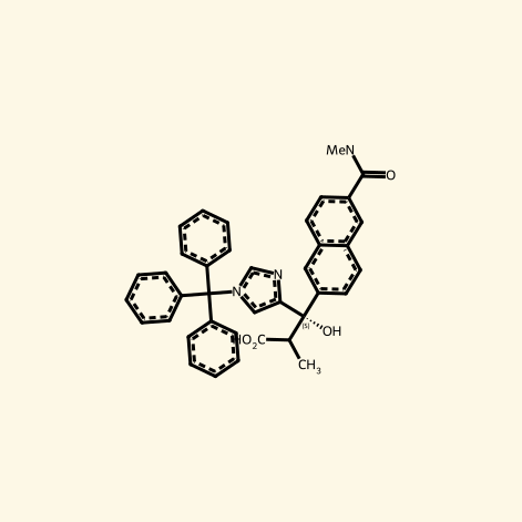 CNC(=O)c1ccc2cc([C@](O)(c3cn(C(c4ccccc4)(c4ccccc4)c4ccccc4)cn3)C(C)C(=O)O)ccc2c1